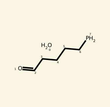 O.O=CCCCCP